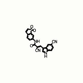 N#C/C(=C\c1c[nH]c2ccc(C#N)cc12)C(=O)Nc1ccc2c(c1)S(=O)(=O)C=C2